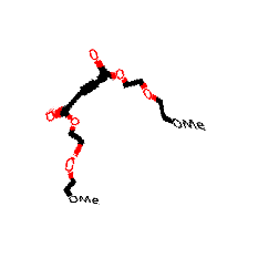 COCCOCCOC(=O)C#CC(=O)OCCOCCOC